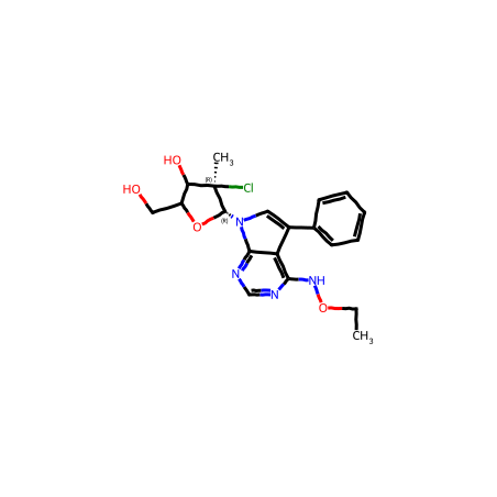 CCONc1ncnc2c1c(-c1ccccc1)cn2[C@@H]1OC(CO)C(O)[C@@]1(C)Cl